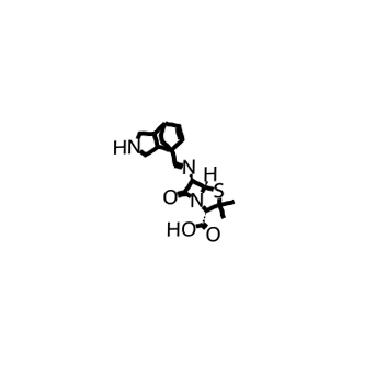 CC1(C)S[C@@H]2[C@H](N=CC34C=CC(CC3)C3CNCC34)C(=O)N2[C@H]1C(=O)O